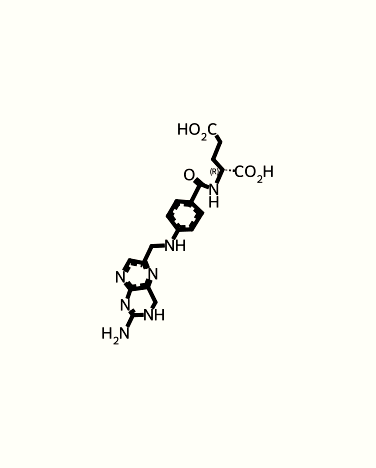 NC1=Nc2ncc(CNc3ccc(C(=O)N[C@H](CCC(=O)O)C(=O)O)cc3)nc2CN1